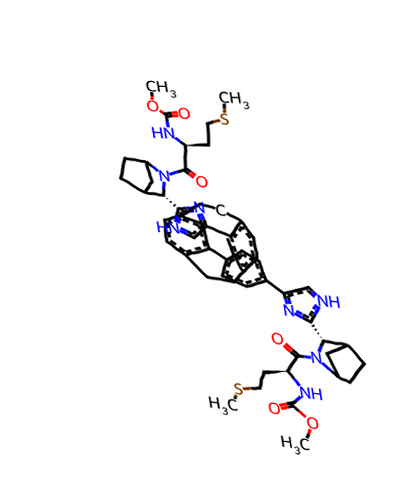 COC(=O)N[C@@H](CCSC)C(=O)N1C2CCC(C2)[C@H]1c1nc(-c2ccc(-c3cc4ccc3CCc3ccc(c(-c5c[nH]c([C@@H]6C7CCC(C7)N6C(=O)[C@H](CCSC)NC(=O)OC)n5)c3)CC4)cc2)c[nH]1